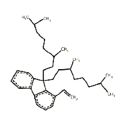 C=Cc1cccc2c1C(CCC(C)CCCC(C)C)(CCC(C)CCCC(C)C)c1ccccc1-2